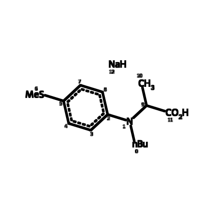 CCCCN(c1ccc(SC)cc1)C(C)C(=O)O.[NaH]